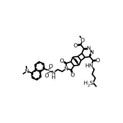 COC(=O)C1=NN=C(C(=O)NCCC[SiH2]C)C2C1C1C3C=CC(C4C(=O)N(CCNS(=O)(=O)c5cccc6c(N(C)C)cccc56)C(=O)C34)C21